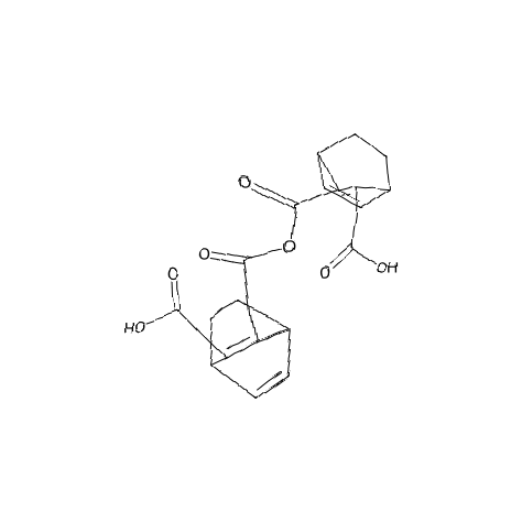 O=C(O)C1=C(C(=O)OC(=O)C2=C(C(=O)O)C3C=CC2CC3)C2C=CC1CC2